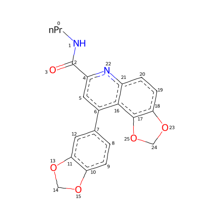 CCCNC(=O)c1cc(-c2ccc3c(c2)OCO3)c2c3c(ccc2n1)OCO3